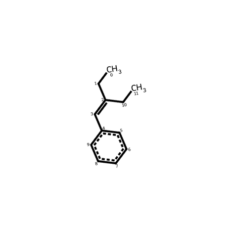 CCC(=[C]c1ccccc1)CC